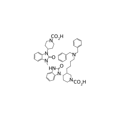 Cn1c(=O)n(C2CCN(C(=O)O)CC2)c2ccccc21.O=C(O)N1CC[C@H](n2c(=O)[nH]c3ccccc32)C(CCCCN(Cc2ccccc2)Cc2ccccc2)C1